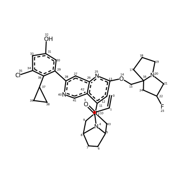 C=CC(=O)N1C2CCC1CN(c1cc(OCC34CCCN3CC(F)C4)nc3cc(-c4cc(O)cc(Cl)c4C4CC4)ncc13)C2